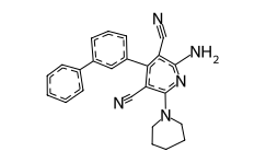 N#Cc1c(N)nc(N2CCCCC2)c(C#N)c1-c1cccc(-c2ccccc2)c1